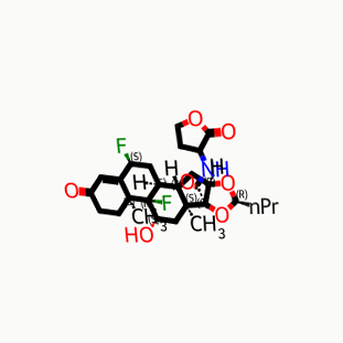 CCC[C@@H]1O[C@@H]2C[C@H]3[C@@H]4C[C@H](F)C5=CC(=O)CC[C@]5(C)[C@@]4(F)[C@@H](O)C[C@]3(C)[C@]2(C(=O)NC2CCOC2=O)O1